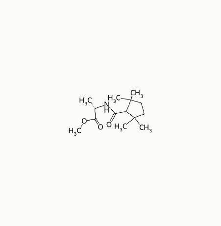 COC(=O)[C@H](C)NC(=O)C1C(C)(C)CCC1(C)C